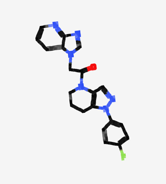 O=C(Cn1cnc2ncccc21)N1CCCc2c1cnn2-c1ccc(F)cc1